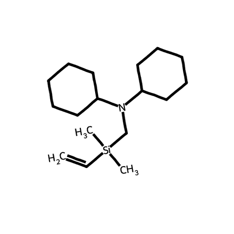 C=C[Si](C)(C)CN(C1CCCCC1)C1CCCCC1